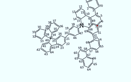 c1ccc(-c2ccccc2-c2ccccc2N(c2ccc(-c3ccc4c(c3)C(c3ccccc3)(c3ccccc3)c3ccccc3-4)cc2)c2cccc(-c3cccc(-c4cccc5ccccc45)c3)c2)cc1